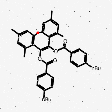 CCCCc1ccc(C(=O)OC(=C(OC(=O)c2ccc(CCCC)cc2)c2c(C)cc(C)cc2C)c2c(C)cc(C)cc2C)cc1